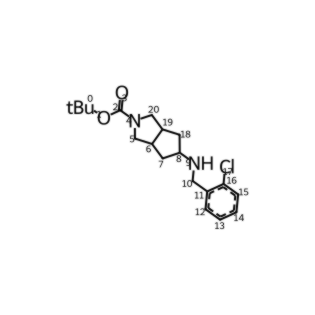 CC(C)(C)OC(=O)N1CC2CC(NCc3ccccc3Cl)CC2C1